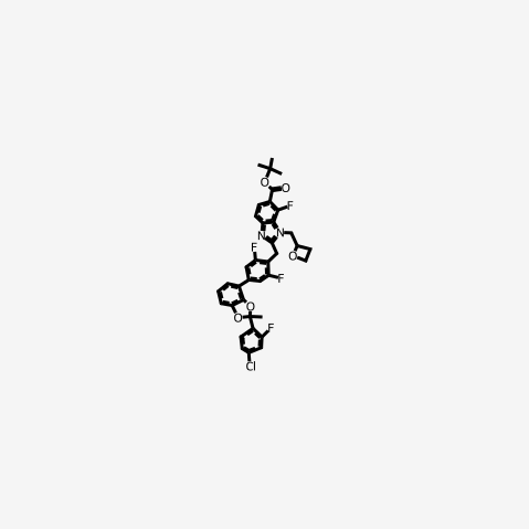 CC(C)(C)OC(=O)c1ccc2nc(Cc3c(F)cc(-c4cccc5c4OC(C)(c4ccc(Cl)cc4F)O5)cc3F)n(CC3CCO3)c2c1F